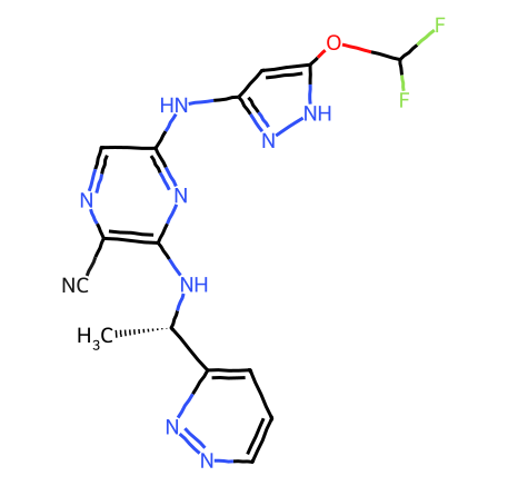 C[C@H](Nc1nc(Nc2cc(OC(F)F)[nH]n2)cnc1C#N)c1cccnn1